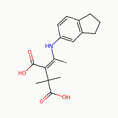 CC(Nc1ccc2c(c1)CCC2)=C(C(=O)O)C(C)(C)C(=O)O